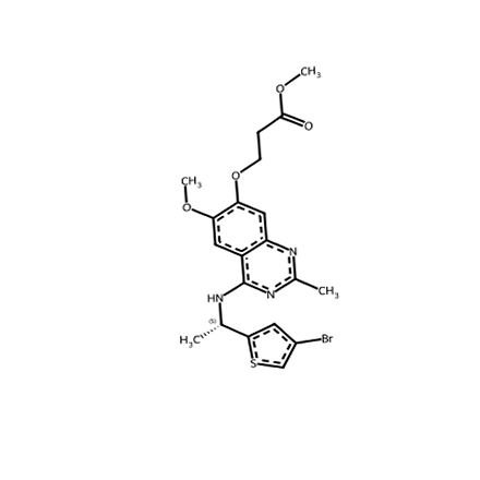 COC(=O)CCOc1cc2nc(C)nc(N[C@@H](C)c3cc(Br)cs3)c2cc1OC